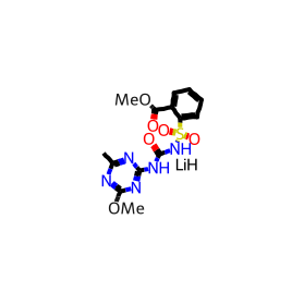 COC(=O)c1ccccc1S(=O)(=O)NC(=O)Nc1nc(C)nc(OC)n1.[LiH]